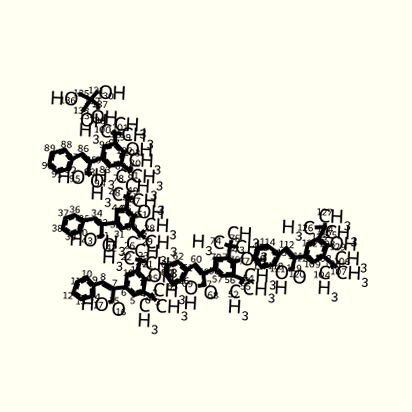 CC(C)(C)c1cc(C(=Cc2ccccc2)C(=O)O)cc(C(C)(C)C)c1O.CC(C)(C)c1cc(C(=Cc2ccccc2)C(=O)O)cc(C(C)(C)C)c1O.CC(C)(C)c1cc(C(=Cc2ccccc2)C(=O)O)cc(C(C)(C)C)c1O.CC(C)(C)c1cc(C(=Cc2ccccc2)C(=O)O)cc(C(C)(C)C)c1O.CC(C)(C)c1cc(C(=Cc2ccccc2)C(=O)O)cc(C(C)(C)C)c1O.OCC(CO)(CO)CO